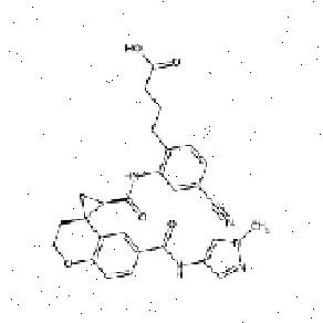 Cn1cc(NC(=O)c2ccc3c(c2)[C@]2(CCO3)C[C@H]2C(=O)Nc2cc(C#N)ccc2CCCC(=O)O)cn1